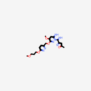 COCCCOc1ccc(COc2nn(C(=N)c3cc(C)on3)c(=N)cc2OC)nn1